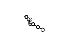 O=C(Cc1ccccc1)N1CCc2cc(-c3ccc(C4CCCCC4)cc3)ccc21